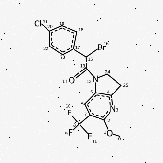 COc1nc2c(cc1C(F)(F)F)N(C(=O)C(Br)c1ccc(Cl)cc1)CC2